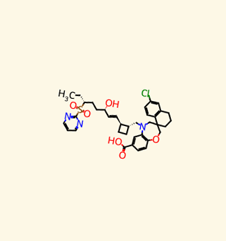 CC[C@H](CC[C@H](O)/C=C/[C@@H]1CC[C@H]1CN1CC2(CCCc3cc(Cl)ccc32)COc2ccc(C(=O)O)cc21)S(=O)(=O)c1ncccn1